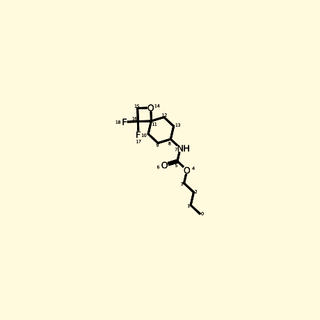 CCCCOC(=O)NC1CCC2(CC1)OCC2(F)F